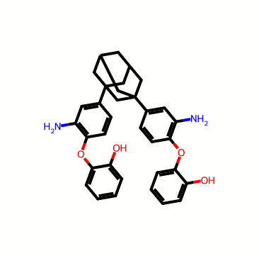 Nc1cc(C23CC4CC(C2)CC(c2ccc(Oc5ccccc5O)c(N)c2)(C4)C3)ccc1Oc1ccccc1O